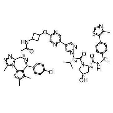 Cc1ncsc1-c1ccc([C@H](C)NC(=O)[C@@H]2C[C@@H](O)CN2C(=O)[C@H](C(C)C)n2cc(-c3cnc(OC4CC(NC(=O)C[C@@H]5N=C(c6ccc(Cl)cc6)c6c(sc(C)c6C)-n6c(C)nnc65)C4)cn3)cn2)cc1